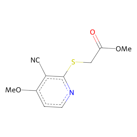 COC(=O)CSc1nccc(OC)c1C#N